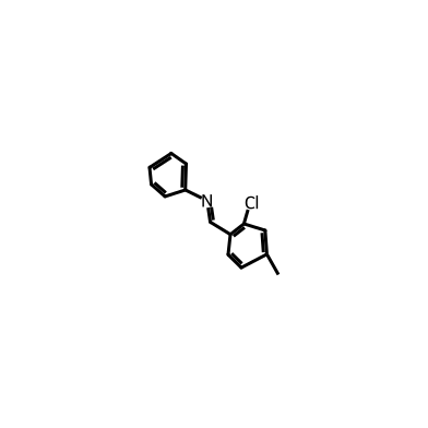 Cc1ccc(C=Nc2ccccc2)c(Cl)c1